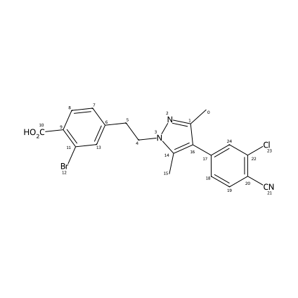 Cc1nn(CCc2ccc(C(=O)O)c(Br)c2)c(C)c1-c1ccc(C#N)c(Cl)c1